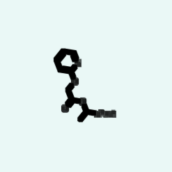 CCCCCC(C)OC(=O)COc1ccccn1